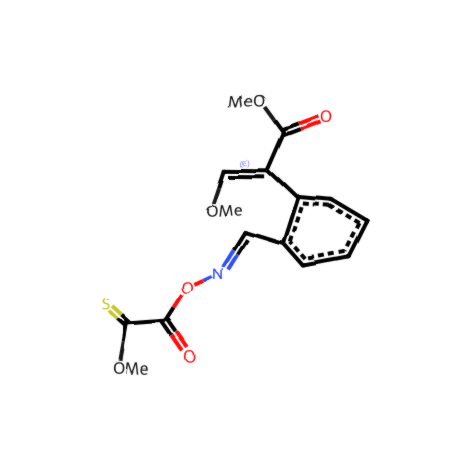 CO/C=C(/C(=O)OC)c1ccccc1C=NOC(=O)C(=S)OC